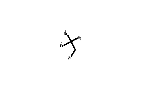 Br[CH]C(Br)(Br)Br